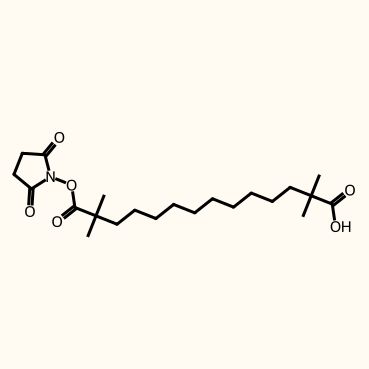 CC(C)(CCCCCCCCCCC(C)(C)C(=O)ON1C(=O)CCC1=O)C(=O)O